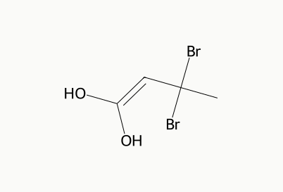 CC(Br)(Br)C=C(O)O